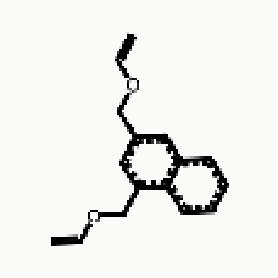 C=COCc1cc(COC=C)c2ccccc2c1